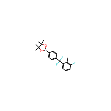 Cc1c(F)cccc1C(F)(F)c1ccc(B2OC(C)(C)C(C)(C)O2)cc1